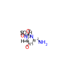 NC[C@@H]1CC(=O)[C@@H]2CN1C(=O)N2OS(=O)(=O)O